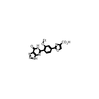 CCOc1cc(-c2nc(C(=O)O)co2)ccc1-c1nc2[nH]nnc2c(=O)[nH]1